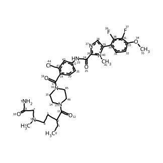 CCC(CCN(C)CC(N)=O)C(=O)N1CCN(C(=O)c2ccc(NC(=O)c3ncc(-c4ccc(OC)c(F)c4F)n3C)cc2Cl)CC1